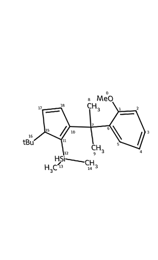 COc1ccccc1C(C)(C)C1=C([SiH](C)C)C(C(C)(C)C)C=C1